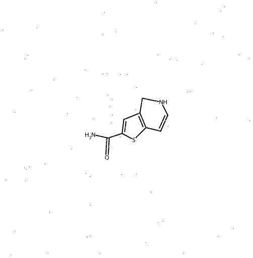 NC(=O)c1cc2c(s1)C=CNC2